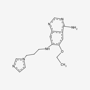 CCOc1cc2c(N)ncnc2cc1NCCCn1ccnc1